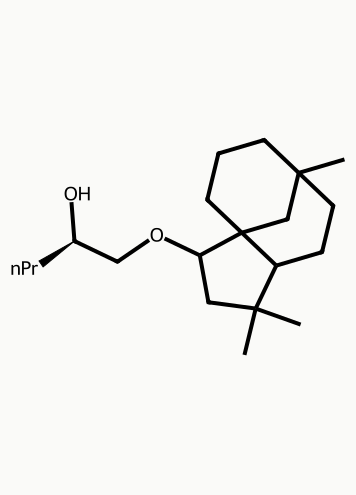 CCC[C@@H](O)COC1CC(C)(C)C2CCC3(C)CCCC12C3